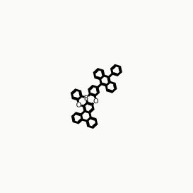 c1ccc(-c2c3ccccc3c(-c3ccc4c(c3)Oc3cc5c6ccccc6c6ccccc6c5c5c3B4c3ccccc3O5)c3ccccc23)cc1